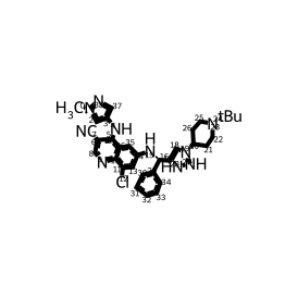 Cn1cc(Nc2c(C#N)cnc3c(Cl)cc(N[C@H](C4=CN(C5CCN(C(C)(C)C)CC5)NN4)c4ccccc4)cc23)cn1